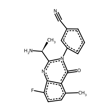 Cc1ccc(F)c2nc([C@H](C)N)n(-c3cccc(C#N)c3)c(=O)c12